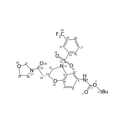 CC(C)(C)OC(=O)Nc1ccc2c(c1)N(S(=O)(=O)c1cccc(C(F)(F)F)c1)C[C@@H](CC(=O)N1CCOC1)O2